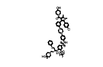 Cc1c(C(=O)N2CCC(O)CC2)c(-c2cccc(N3CCN(c4ccc(NS(=O)(=O)c5ccc(N[C@H](CCN6CCC(C)(O)CC6)CSc6ccccc6)c(S(=O)(=O)C(F)(F)F)c5)cc4)CC3)c2)c(-c2ccc(Cl)cc2)n1C